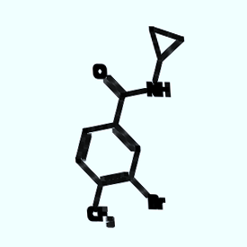 O=C(NC1CC1)c1ccc(C(F)(F)F)c(Br)c1